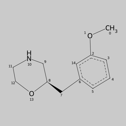 COc1cccc(C[C@@H]2CNCCO2)c1